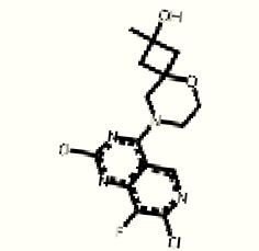 CC1(O)CC2(CN(c3nc(Cl)nc4c(F)c(Cl)ncc34)CCO2)C1